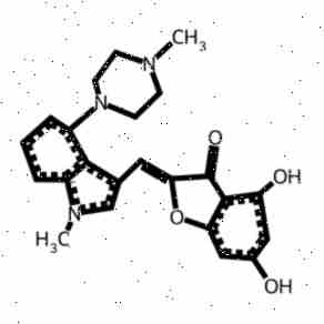 CN1CCN(c2cccc3c2c(/C=C2\Oc4cc(O)cc(O)c4C2=O)cn3C)CC1